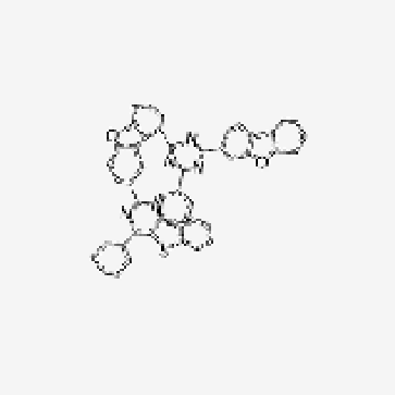 c1ccc(-c2nc(-c3ccc4c(c3)oc3ccccc34)nc(-c3cccc4oc5ccc(-c6nc(-c7ccccc7)c7sc8ccccc8c7n6)cc5c34)n2)cc1